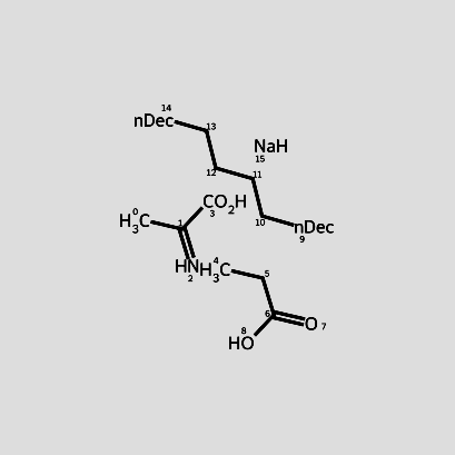 CC(=N)C(=O)O.CCC(=O)O.CCCCCCCCCCCCCCCCCCCCCCCC.[NaH]